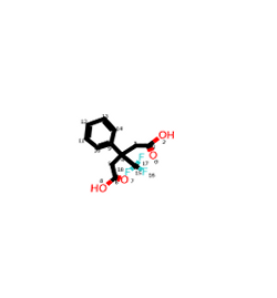 O=C(O)CC(CC(=O)O)(c1ccccc1)C(F)(F)F